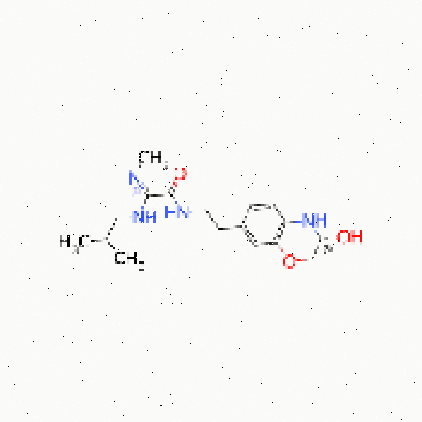 C/N=C(/NCC(C)C)C(=O)NCCc1ccc2c(c1)OC[C@@H](O)N2